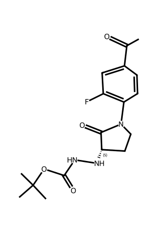 CC(=O)c1ccc(N2CC[C@H](NNC(=O)OC(C)(C)C)C2=O)c(F)c1